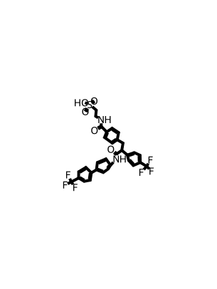 O=C(NCCS(=O)(=O)O)c1ccc(CC(C(=O)Nc2ccc(-c3ccc(C(F)(F)F)cc3)cc2)c2ccc(C(F)(F)F)cc2)cc1